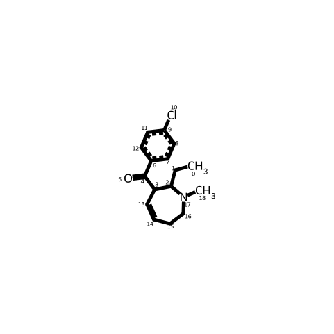 CCC1C(C(=O)c2ccc(Cl)cc2)C=CCCN1C